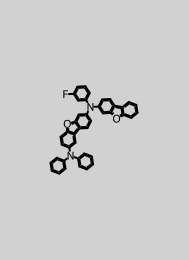 Fc1cccc(N(c2ccc3c(c2)oc2ccccc23)c2ccc3c(c2)oc2ccc(N(c4ccccc4)c4ccccc4)cc23)c1